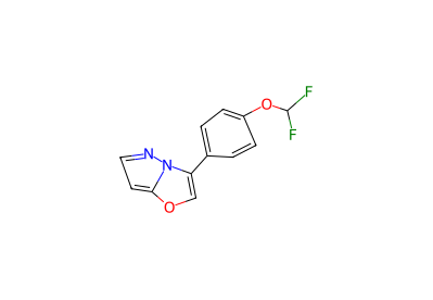 FC(F)Oc1ccc(-c2coc3ccnn23)cc1